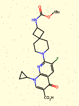 CC(C)(C)OC(=O)NC1CC2(CCN(c3nc4c(cc3F)c(=O)c(C(=O)O)cn4C3CC3)CC2)C1